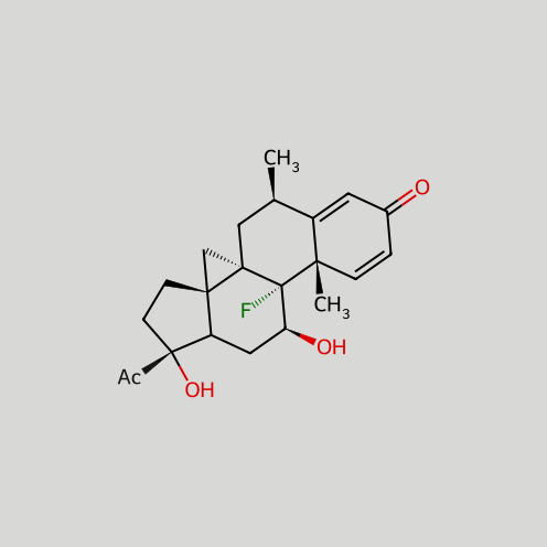 CC(=O)[C@@]1(O)CC[C@@]23C[C@@]24C[C@@H](C)C2=CC(=O)C=C[C@]2(C)[C@@]4(F)[C@@H](O)CC31